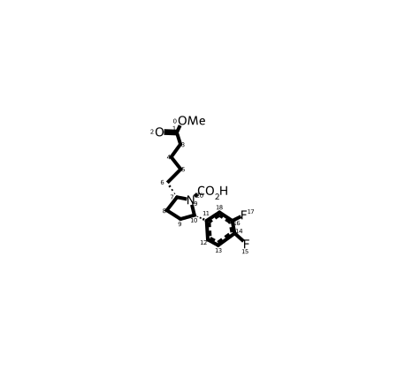 COC(=O)CCCC[C@H]1CC[C@@H](c2ccc(F)c(F)c2)N1C(=O)O